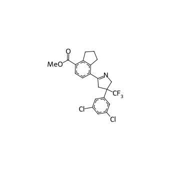 COC(=O)c1ccc(C2=NCC(c3cc(Cl)cc(Cl)c3)(C(F)(F)F)C2)c2c1CCC2